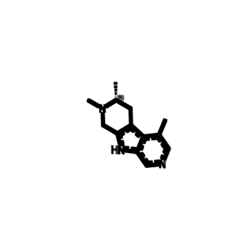 Cc1cncc2[nH]c3c(c12)C[C@@H](C)N(C)C3